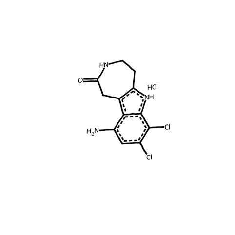 Cl.Nc1cc(Cl)c(Cl)c2[nH]c3c(c12)CC(=O)NCC3